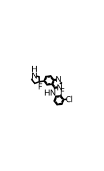 Fc1c(Cl)cccc1Nc1ncnc2ccc([C@@]3(F)CCNC3)cc12